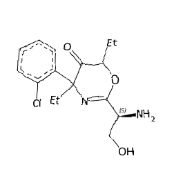 CCC1OC([C@@H](N)CO)=NC(CC)(c2ccccc2Cl)C1=O